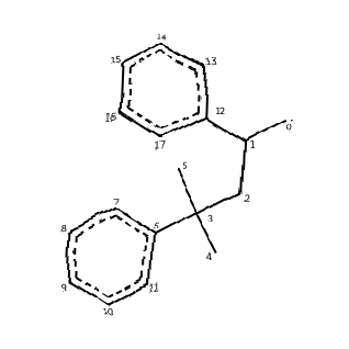 [CH2]C(CC(C)(C)c1ccccc1)c1ccccc1